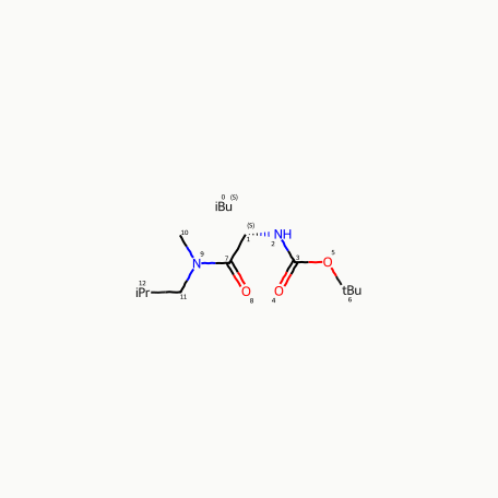 CC[C@H](C)[C@H](NC(=O)OC(C)(C)C)C(=O)N(C)CC(C)C